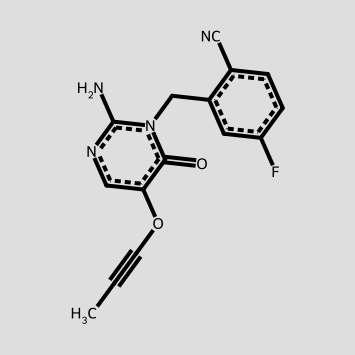 CC#COc1cnc(N)n(Cc2cc(F)ccc2C#N)c1=O